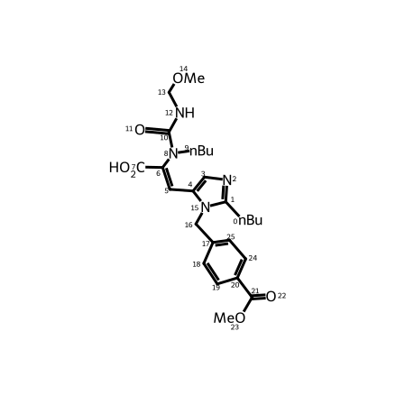 CCCCc1ncc(C=C(C(=O)O)N(CCCC)C(=O)NCOC)n1Cc1ccc(C(=O)OC)cc1